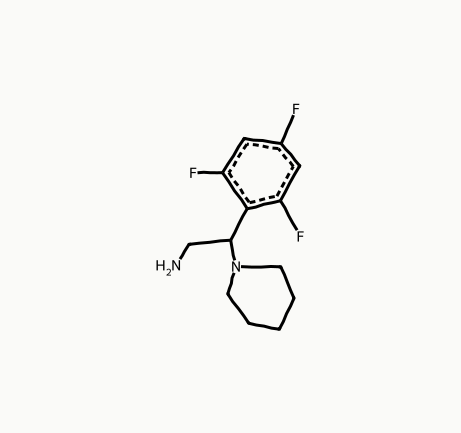 NCC(c1c(F)cc(F)cc1F)N1CCCCC1